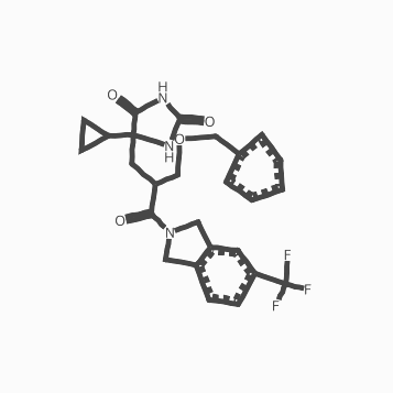 O=C1NC(=O)C(CC(COCc2ccccc2)C(=O)N2Cc3ccc(C(F)(F)F)cc3C2)(C2CC2)N1